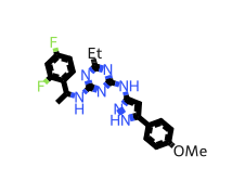 CCc1nc(Nc2cc(-c3ccc(OC)cc3)[nH]n2)nc(NC(C)c2ccc(F)cc2F)n1